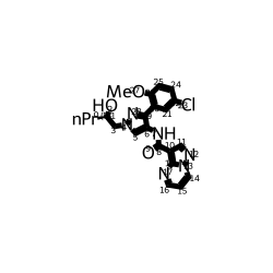 CCC[C@@H](O)Cn1cc(NC(=O)c2cnn3cccnc23)c(-c2cc(Cl)ccc2OC)n1